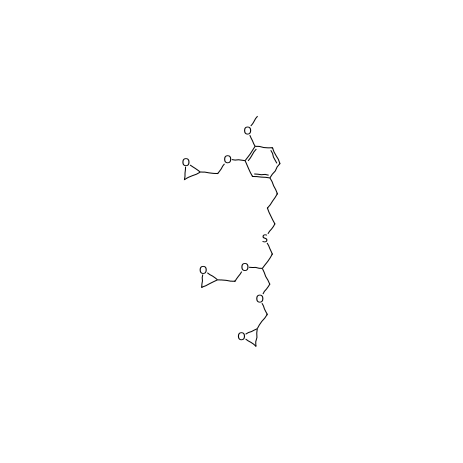 COc1ccc(CCCSCC(COCC2CO2)OCC2CO2)cc1OCC1CO1